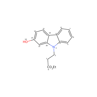 CCOC(=O)CCn1c2ccccc2c2ccc(O)cc21